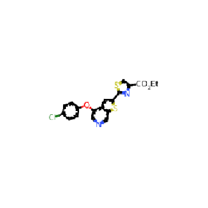 CCOC(=O)c1csc(-c2cc3c(Oc4ccc(Cl)cc4)cncc3s2)n1